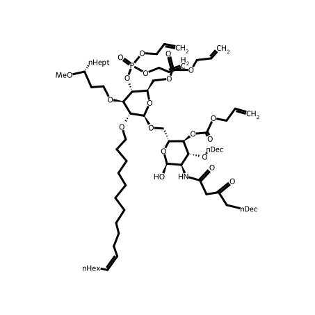 C=CCOC(=O)OC[C@H]1O[C@@H](OC[C@H]2O[C@H](O)[C@H](NC(=O)CC(=O)CCCCCCCCCCC)[C@@H](OCCCCCCCCCC)[C@@H]2OC(=O)OCC=C)[C@H](OCCCCCCCCCC/C=C\CCCCCC)[C@@H](OCC[C@@H](CCCCCCC)OC)[C@@H]1OP(=O)(OCC=C)OCC=C